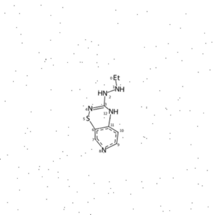 CCNNC1=NSc2cnccc2N1